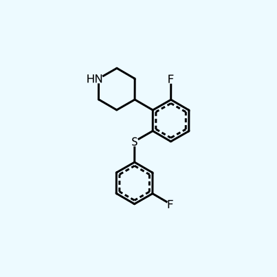 Fc1cccc(Sc2cccc(F)c2C2CCNCC2)c1